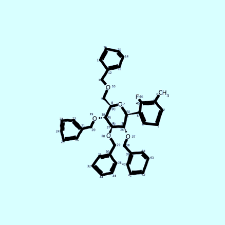 Cc1cccc([C@@H]2O[C@H](COCc3ccccc3)[C@@H](OCc3ccccc3)[C@H](OCc3ccccc3)[C@H]2OCc2ccccc2)c1F